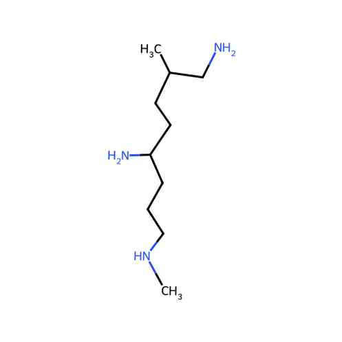 CNCCCC(N)CCC(C)CN